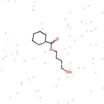 O=C(OCCCCO)C1CCCCC1